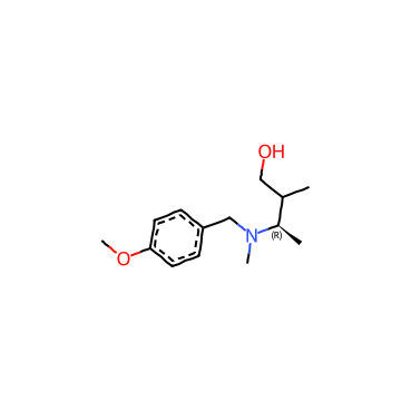 COc1ccc(CN(C)[C@H](C)C(C)CO)cc1